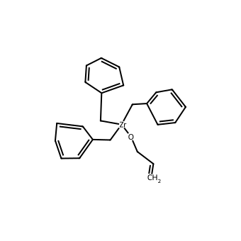 C=CC[O][Zr]([CH2]c1ccccc1)([CH2]c1ccccc1)[CH2]c1ccccc1